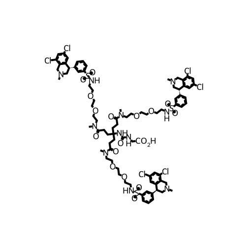 CN1Cc2c(Cl)cc(Cl)cc2[C@H](c2cccc(S(=O)(=O)NCCOCCOCCN(C)C(=O)CCC(CCC(=O)N(C)CCOCCOCCNS(=O)(=O)c3cccc([C@@H]4CN(C)Cc5c(Cl)cc(Cl)cc54)c3)(CCC(=O)N(C)CCOCCOCCNS(=O)(=O)c3cccc([C@@H]4CN(C)Cc5c(Cl)cc(Cl)cc54)c3)NC(=O)NCC(=O)O)c2)C1